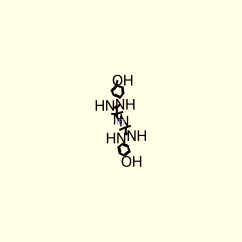 CC(C)(/N=N/C(C)(C)C(=N)Nc1ccc(O)cc1)C(=N)Nc1ccc(O)cc1